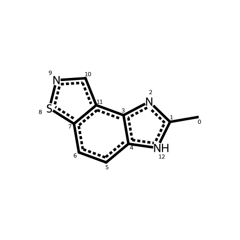 Cc1nc2c(ccc3sncc32)[nH]1